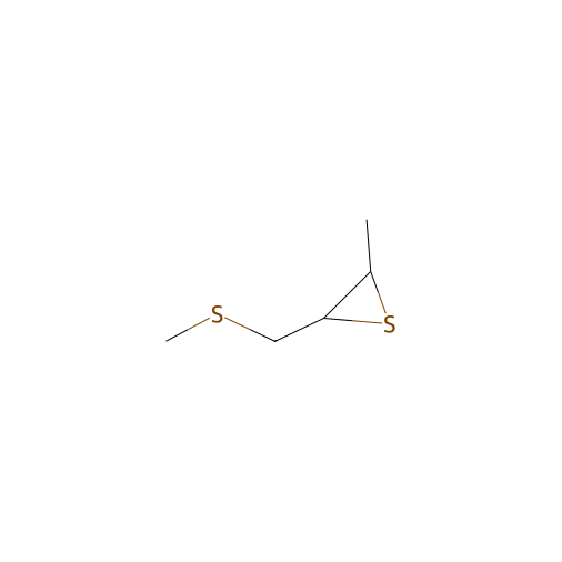 CSCC1SC1C